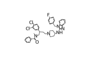 CN(CC(CCN1CCC(Nc2nc3ccccc3n2Cc2ccc(F)cc2)CC1)c1ccc(Cl)c(Cl)c1)C(=O)c1ccccc1